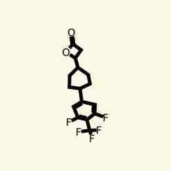 O=C1CC(C2CCC(c3cc(F)c(C(F)(F)F)c(F)c3)CC2)O1